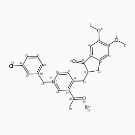 COc1cc2c(cc1OC)C(=O)C(Cc1cc[n+](Cc3cccc(Cl)c3)cc1C(C)=O)C2.[Br-]